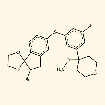 COC1(c2cc(F)cc(Sc3ccc4c(c3)CC(Br)C43OCCO3)c2)CCOCC1